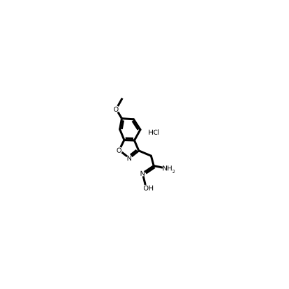 COc1ccc2c(CC(N)=NO)noc2c1.Cl